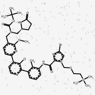 COc1nc(-c2ccnc(-c3cccc(NC(=O)c4nc(Br)cn4COCC[Si](C)(C)C)c3C)c2Cl)ccc1CN(C[C@@H]1CCC(=O)N1)C(=O)OC(C)(C)C